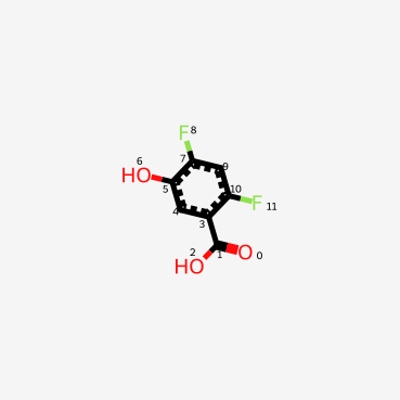 O=C(O)c1cc(O)c(F)cc1F